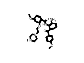 COc1ccc(C(=O)c2cccc(N)c2NC(=O)c2ccc(OC)cc2OCCN2CCNCC2)cc1